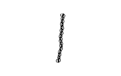 C=CC(=O)OCCOCCOCCOCCOCCOCCOCCOCCOCCOCCOCCOCCOCCOCCOCCOCCOC(=O)C=C